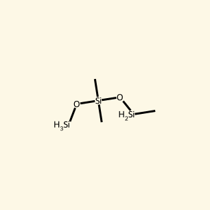 C[SiH2]O[Si](C)(C)O[SiH3]